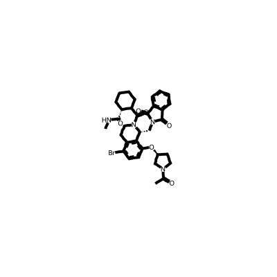 CNC(=O)[C@@H]1CCCCC1C(=O)N1CCc2c(Br)ccc(O[C@H]3CCN(C(C)=O)C3)c2[C@H]1CN1C(=O)c2ccccc2C1=O